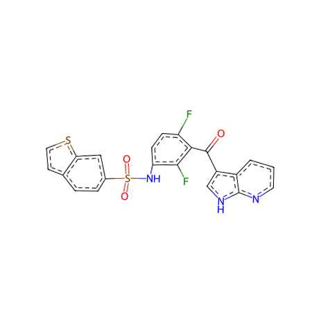 O=C(c1c(F)ccc(NS(=O)(=O)c2ccc3ccsc3c2)c1F)c1c[nH]c2ncccc12